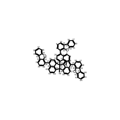 Cc1cccc2c(-c3cccc4c3oc3ccccc34)ccc(C34c5ccc(-c6cccc7c6oc6ccccc67)c6cccc(c56)C3(C)c3cccc5c(-c6cccc7c6oc6ccccc67)ccc4c35)c12